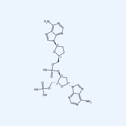 Nc1ncnc2c1ncn2[C@H]1CC[C@@H](COP(=O)(S)O[C@H]2C[C@H](n3cnc4c(N)ncnc43)O[C@@H]2COP(=O)(O)S)O1